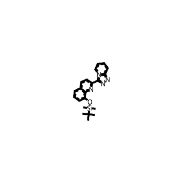 CC(C)(C)[Si](C)(C)Oc1cccc2ccc(-c3nnc4ccccn34)nc12